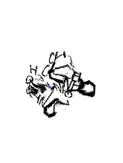 C=CC(C)(C)CC(NC(=O)c1ccccc1Cl)N/C(=N/[N+](=O)[O-])Nc1cccnc1